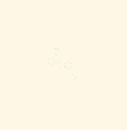 Cn1cnnc1C1(c2cccc(N3Cc4c(cc(CN(C(=O)OC(C)(C)C)C5(C)CCC5)cc4C(F)(F)F)C3=O)c2)CC(F)C1